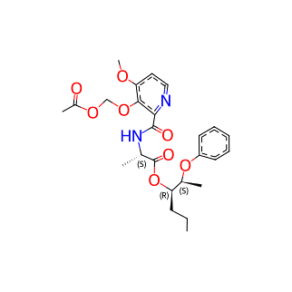 CCC[C@@H](OC(=O)[C@H](C)NC(=O)c1nccc(OC)c1OCOC(C)=O)[C@H](C)Oc1ccccc1